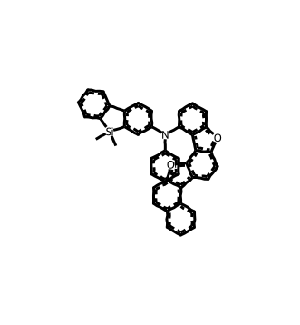 C[Si]1(C)c2ccccc2-c2ccc(N(c3ccccc3)c3cccc4oc5ccc6c(oc7ccc8ccccc8c76)c5c34)cc21